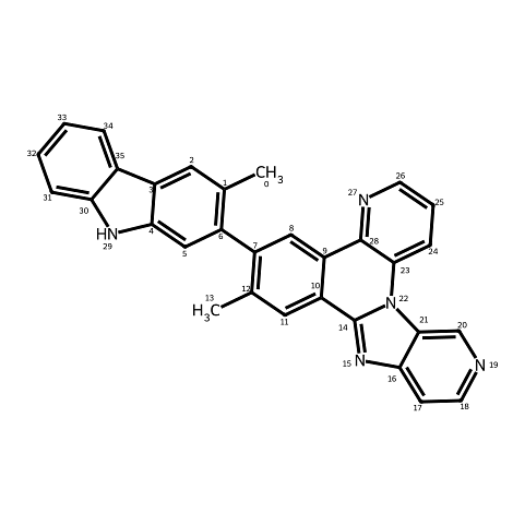 Cc1cc2c(cc1-c1cc3c(cc1C)c1nc4ccncc4n1c1cccnc31)[nH]c1ccccc12